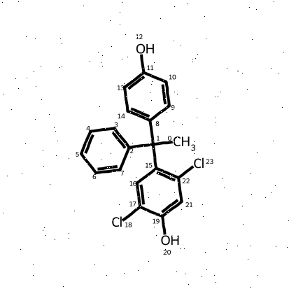 CC(c1ccccc1)(c1ccc(O)cc1)c1cc(Cl)c(O)cc1Cl